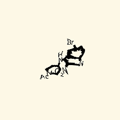 CC(=O)N1CCC(Nc2c([N+](=O)[O-])cnc3ccc(Br)cc23)CC1